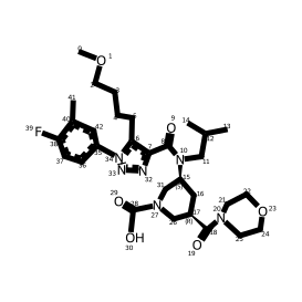 COCCCCc1c(C(=O)N(CC(C)C)[C@H]2C[C@@H](C(=O)N3CCOCC3)CN(C(=O)O)C2)nnn1-c1ccc(F)c(C)c1